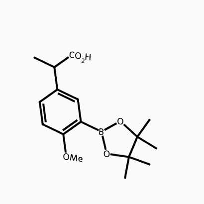 COc1ccc(C(C)C(=O)O)cc1B1OC(C)(C)C(C)(C)O1